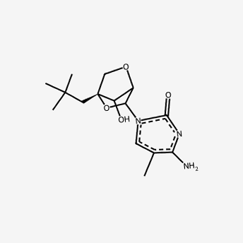 Cc1cn(C2O[C@]3(CC(C)(C)C)COC2C3O)c(=O)nc1N